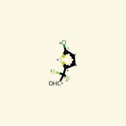 O=CC(F)(F)c1ccc(Cl)s1